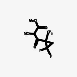 COC(=O)C(C#N)C(=O)C1(C(F)(F)F)CC1(F)F